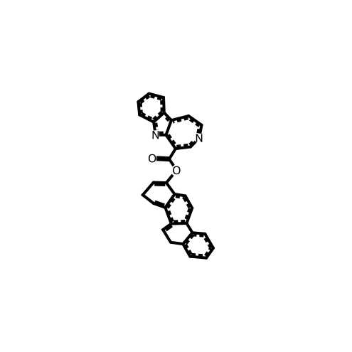 O=C(OC1=CCC=c2c1ccc1c2=CCc2ccccc2-1)c1cnccc2c3ccccc3nc1-2